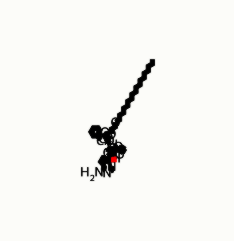 CCCCCCCCCCCCCCCCCCOCCOP(=O)(OC[C@H]1O[C@@](C)(c2ccc3c(N)ncnn23)[C@@H]2OC(C)(C)O[C@@H]21)Oc1ccccc1Cl